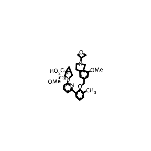 COC[C@H]1N(c2cccc(-c3cccc(C)c3OCc3cc4c(c(OC)c3)CN(C3COC3)CC4)n2)CC2C[C@@]21C(=O)O